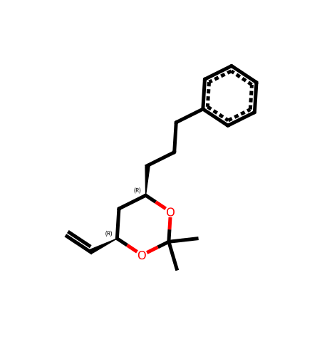 C=C[C@H]1C[C@@H](CCCc2ccccc2)OC(C)(C)O1